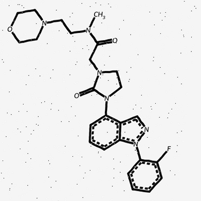 CN(CCN1CCOCC1)C(=O)CN1CCN(c2cccc3c2cnn3-c2ccccc2F)C1=O